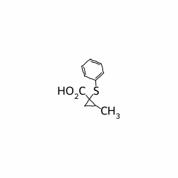 CC1CC1(Sc1ccccc1)C(=O)O